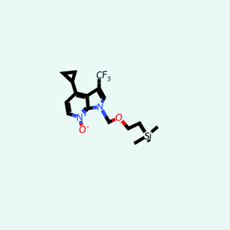 C[Si](C)(C)CCOCn1cc(C(F)(F)F)c2c(C3CC3)cc[n+]([O-])c21